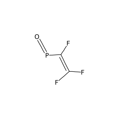 O=PC(F)=C(F)F